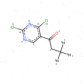 [2H]C([2H])([2H])CC(=O)c1cnc(Cl)nc1Cl